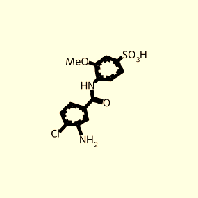 COc1cc(S(=O)(=O)O)ccc1NC(=O)c1ccc(Cl)c(N)c1